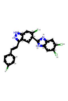 Fc1ccc(/C=C/c2n[nH]c3cc(F)c(-c4nc5cc(Cl)c(Cl)cc5[nH]4)cc23)cc1